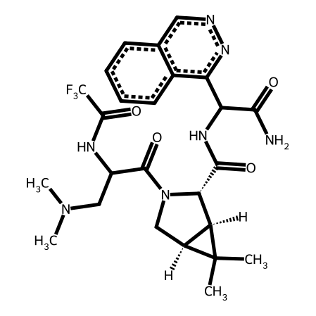 CN(C)CC(NC(=O)C(F)(F)F)C(=O)N1C[C@H]2[C@@H]([C@H]1C(=O)NC(C(N)=O)c1nncc3ccccc13)C2(C)C